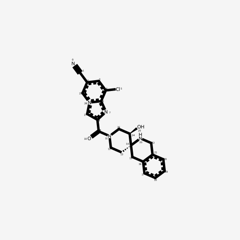 N#Cc1cc(Cl)c2nc(C(=O)N3CC[C@]4(Cc5ccccc5CN4)[C@H](O)C3)cn2c1